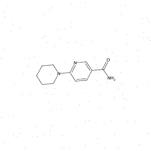 NC(=O)c1ccc(N2CCCCC2)nc1